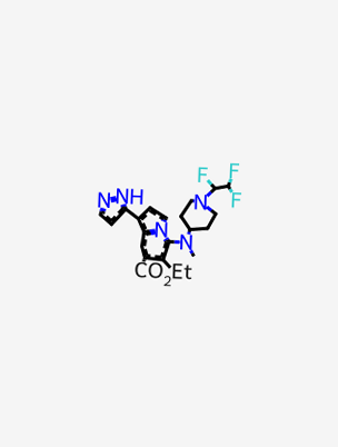 CCOC(=O)c1cc2c(-c3ccn[nH]3)ccn2c(N(C)C2CCN(C(F)C(F)F)CC2)c1C